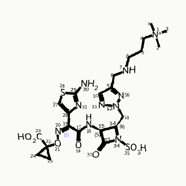 C[N+](C)(C)CCCNCc1cnn(C[C@@H]2[C@H](NC(=O)/C(=N\OC3(C(=O)O)CC3)c3csc(N)n3)C(=O)N2S(=O)(=O)O)n1